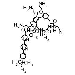 Cc1nc(-c2cnc(-c3ccc(C(C)(C)C)cc3)nc2)ncc1C(=O)NC(CCN)C(=O)N(C)C1C(=O)NC(C)C(=O)NC(C(=O)NCC#N)Cc2ccc(OCCN)c(c2)-c2cc1ccc2OCCN